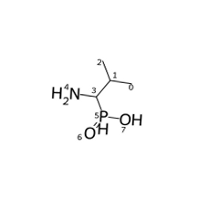 CC(C)C(N)[PH](=O)O